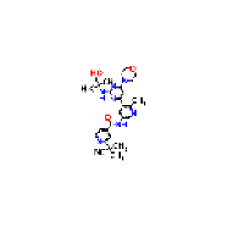 Cc1ncc(NC(=O)c2ccnc(C(C)(C)C#N)c2)cc1-c1cc(N2CCOCC2)nc(NC(C)(C)CO)n1